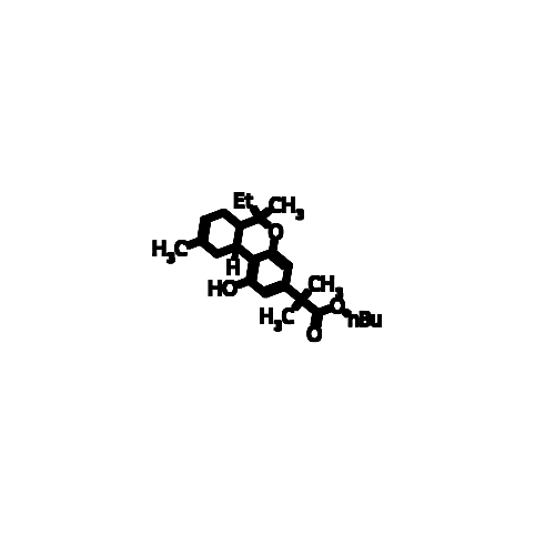 CCCCOC(=O)C(C)(C)c1cc(O)c2c(c1)OC(C)(CC)C1CC=C(C)C[C@@H]21